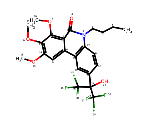 CCCCn1c(=O)c2c(OC)c(OC)c(OC)cc2c2cc(C(O)(C(F)(F)F)C(F)(F)F)ccc21